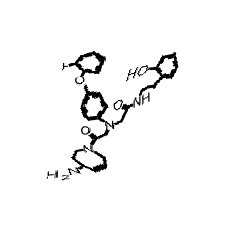 NC1C=CCN(C(=O)CN(CC(=O)NCCc2ccccc2O)c2ccc(Oc3ccccc3F)cc2)CC1